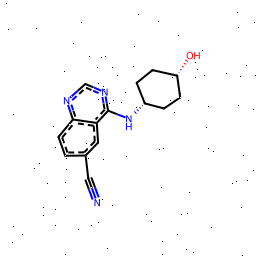 N#Cc1ccc2ncnc(N[C@H]3CC[C@@H](O)CC3)c2c1